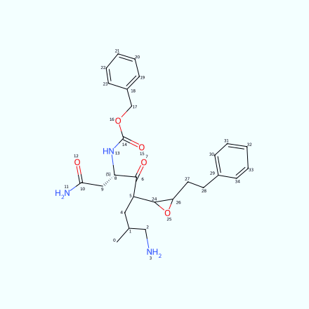 CC(CN)CC(C(=O)[C@H](CC(N)=O)NC(=O)OCc1ccccc1)C1OC1CCc1ccccc1